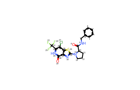 O=C(NCc1ccccc1)C1CCCN1c1nc2c(=O)[nH]c(C(F)(F)F)c(Cl)c2s1